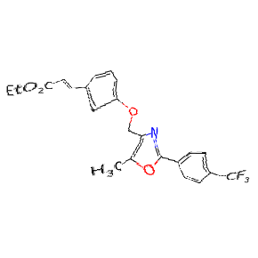 CCOC(=O)C=Cc1cccc(OCc2nc(-c3ccc(C(F)(F)F)cc3)oc2C)c1